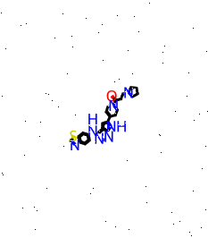 O=C(CCN1CCCC1)N1CC=C(c2cc3c(Nc4ccc5ncsc5c4)ncnc3[nH]2)CC1